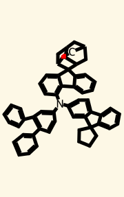 c1ccc(-c2ccc(N(c3ccc4c(c3)C3(CCCC3)c3ccccc3-4)c3cccc4c3-c3ccccc3C43C4CCC5CC(C4)CC3C5)cc2-c2ccccc2)cc1